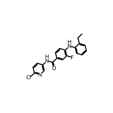 CCc1ccccc1Nc1ccc(C(=O)Nc2ccc(Cl)nc2)cc1F